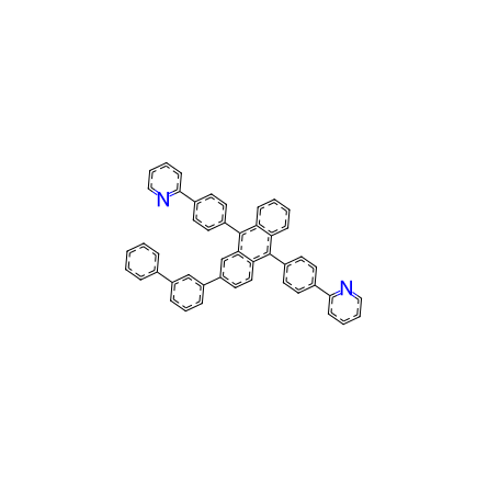 c1ccc(-c2cccc(-c3ccc4c(-c5ccc(-c6ccccn6)cc5)c5ccccc5c(-c5ccc(-c6ccccn6)cc5)c4c3)c2)cc1